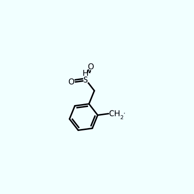 [CH2]c1ccccc1C[SH](=O)=O